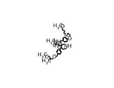 CNC(=O)CO[C@]1(c2ccc(COCC(C)COC)cc2)CCNC[C@@H]1OCc1ccc2c(c1)N(CCCOC)CCO2